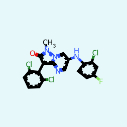 Cn1c(=O)c(-c2c(Cl)cccc2Cl)c2ncc(Nc3ccc(F)cc3Cl)cn21